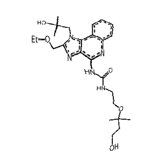 CCOCc1nc2c(NC(=O)NCCOC(C)(C)CCO)nc3ccccc3c2n1CC(C)(C)O